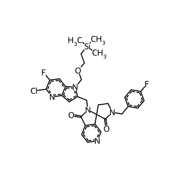 C[Si](C)(C)CCOCn1c(CN2C(=O)c3ccncc3C23CCN(Cc2ccc(F)cc2)C3=O)cc2nc(Cl)c(F)cc21